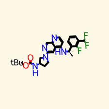 C[C@@H](Nc1ccnc2cnc(N3CC[C@@H](NC(=O)OC(C)(C)C)C3)cc12)c1cccc(C(F)F)c1F